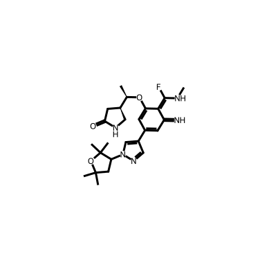 CN/C(F)=C1\C(=N)C=C(c2cnn(C3CC(C)(C)OC3(C)C)c2)C=C1O[C@H](C)[C@H]1CNC(=O)C1